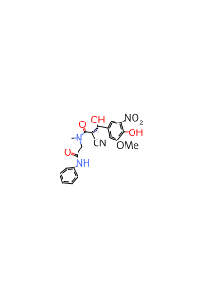 COc1cc(/C(O)=C(\C#N)C(=O)N(C)CC(=O)Nc2ccccc2)cc([N+](=O)[O-])c1O